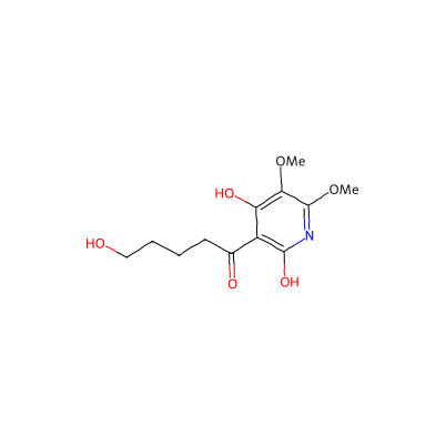 COc1nc(O)c(C(=O)CCCCO)c(O)c1OC